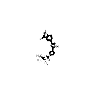 CC(C)(C)OC(=O)N1CCC(c2nc(-c3ccc4[nH]nc(Br)c4c3)n[nH]2)C1